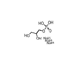 O=P(O)(O)OCC(O)CO.[NaH].[NaH].[NaH]